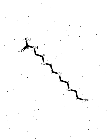 CC(C)(C)CCOCCOCCOCCNC(=O)C(C)(C)C